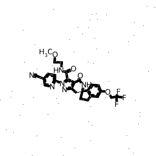 COCCNC(=O)c1c2c(nn1-c1ccc(C#N)cn1)C[C@]1(CCc3cc(OCC(F)(F)F)ccc31)NC2=O